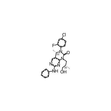 C[C@H](CO)CN1C(=O)N(c2ccc(Cl)cc2F)[C@@H](C)c2cnc(Nc3ccccc3)nc21